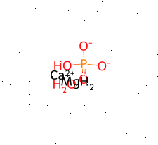 O.O=P([O-])([O-])O.[Ca+2].[MgH2]